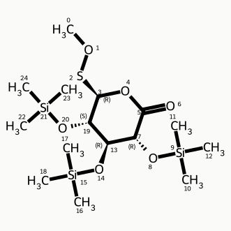 COS[C@H]1OC(=O)[C@H](O[Si](C)(C)C)[C@@H](O[Si](C)(C)C)[C@@H]1O[Si](C)(C)C